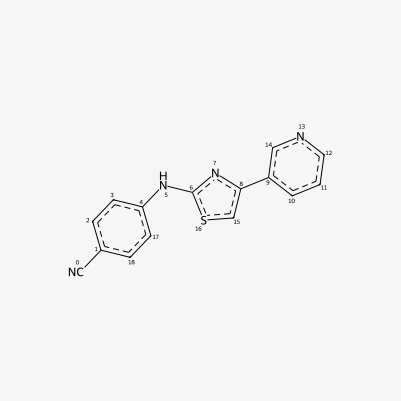 N#Cc1ccc(Nc2nc(-c3cccnc3)cs2)cc1